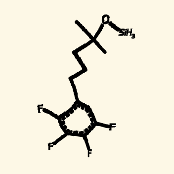 CC(C)(CCCc1cc(F)c(F)c(F)c1F)O[SiH3]